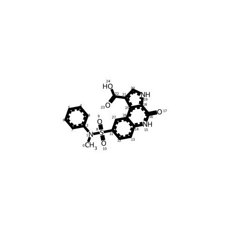 CN(c1ccccc1)S(=O)(=O)c1ccc2[nH]c(=O)c3[nH]cc(C(=O)O)c3c2c1